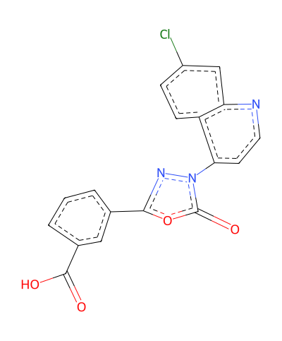 O=C(O)c1cccc(-c2nn(-c3ccnc4cc(Cl)ccc34)c(=O)o2)c1